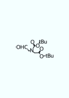 CC(C)(C)OC(=O)CN(C[C]=O)C(=O)OC(C)(C)C